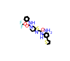 Nc1ccc(-c2cccs2)cc1NC(=O)c1nc2c(s1)CN(C(=O)Nc1ccccc1OC(F)F)CC2